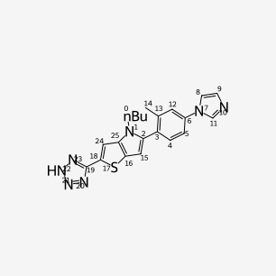 CCCCn1c(-c2ccc(-n3ccnc3)cc2C)cc2sc(-c3nn[nH]n3)cc21